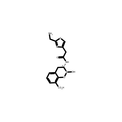 NCc1nc(CC(=O)N[C@H]2Cc3cccc(C(=O)O)c3OB2O)cs1